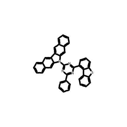 c1ccc(-c2nc(-c3cccc4sc5ccccc5c34)nc(-n3c4cc5ccccc5cc4c4cc5ccccc5cc43)n2)cc1